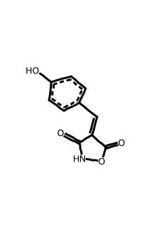 O=C1NOC(=O)C1=Cc1ccc(O)cc1